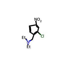 CCN(CC)Cc1ccc([N+](=O)[O-])cc1Cl